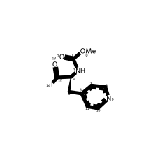 COC(=O)N[C@@H](Cc1ccncc1)C(=O)I